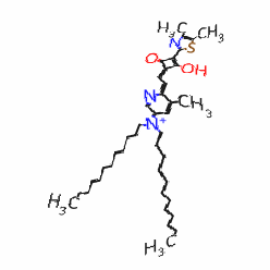 CCCCCCCCCCCC[N+](CCCCCCCCCCCC)=C1C=N/C(=C\C=C2\C(=O)C(c3nc(C)c(C)s3)=C2O)C(C)=C1